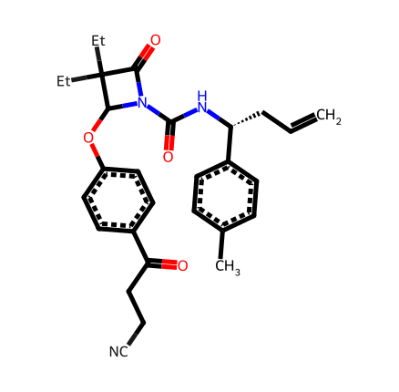 C=CC[C@@H](NC(=O)N1C(=O)C(CC)(CC)C1Oc1ccc(C(=O)CCC#N)cc1)c1ccc(C)cc1